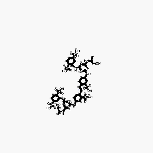 CC(CO)Nc1nc(Nc2ccc(/C=C/c3ccc(Nc4nc(Nc5cc(S(=O)(=O)O)ccc5S(=O)(=O)O)nc(NC(C)CO)n4)cc3S(=O)(=O)O)c(S(=O)(=O)O)c2)nc(Nc2cc(S(=O)(=O)O)ccc2S(=O)(=O)O)n1